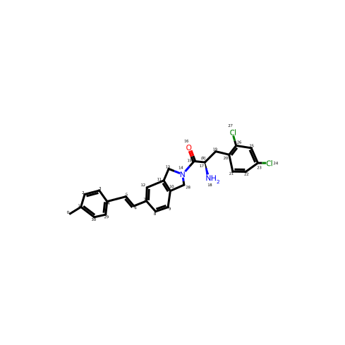 Cc1ccc(C=Cc2ccc3c(c2)CN(C(=O)[C@H](N)Cc2ccc(Cl)cc2Cl)C3)cc1